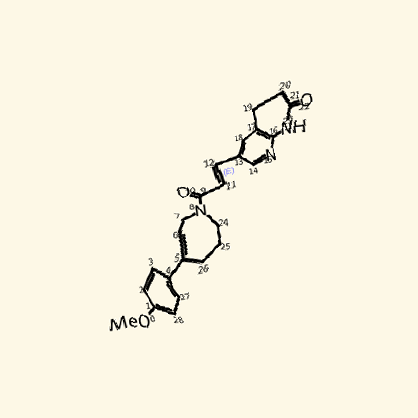 COc1ccc(C2=CCN(C(=O)/C=C/c3cnc4c(c3)CCC(=O)N4)CCC2)cc1